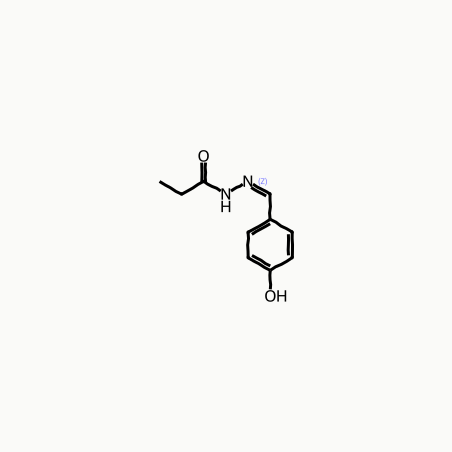 CCC(=O)N/N=C\c1ccc(O)cc1